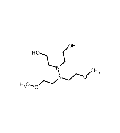 COCCN(CCOC)N(CCO)CCO